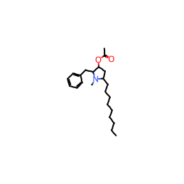 CCCCCCCCCC1CC(OC(C)=O)C(Cc2ccccc2)N1C